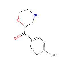 CSc1ccc(C(=O)C2CNCCO2)cc1